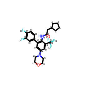 O=C(CC1CCCC1)Nc1c(-c2ccc(F)c(F)c2)cc(N2CCOCC2)cc1C(F)(F)F